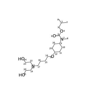 CC(C)COC(=O)N(C)C1CCC(OCCCCN(CCO)CCO)CC1